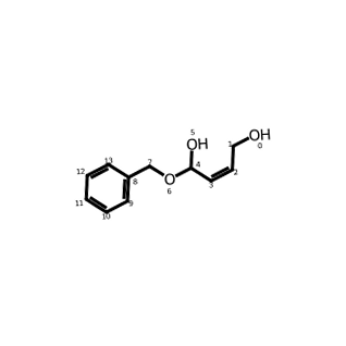 OC/C=C\C(O)OCc1ccccc1